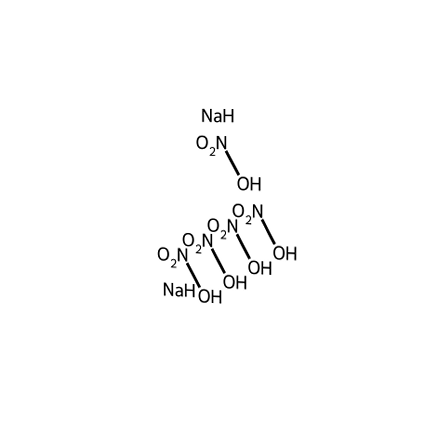 O=[N+]([O-])O.O=[N+]([O-])O.O=[N+]([O-])O.O=[N+]([O-])O.O=[N+]([O-])O.[NaH].[NaH]